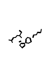 C1=CCC=C1.C1=CCC=CC1.C=C.C=CC(C)CCC=C(C)C.C=CCC=CC